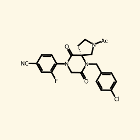 CC(=O)N1CC[C@@]2(C1)C(=O)N(c1ccc(C#N)cc1F)CC(=O)N2Cc1ccc(Cl)cc1